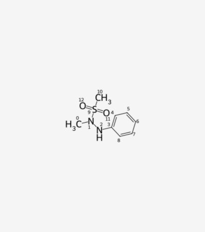 CN(Nc1ccccc1)S(C)(=O)=O